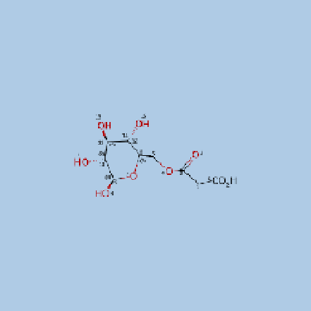 O=C(O)CC(=O)OC[C@H]1O[C@@H](O)[C@H](O)[C@@H](O)[C@@H]1O